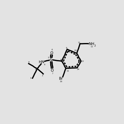 CC(C)(C)NS(=O)(=O)c1cc(CN)ccc1Br